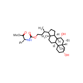 CC[C@H]1[C@@H](O)[C@@H]2[C@H](CC[C@]3(C)[C@@H]([C@H](C)CCOC(=O)N[C@H](C(=O)OC)C(C)C)CC[C@@H]23)[C@@]2(C)CC[C@@H](O)C[C@@H]12